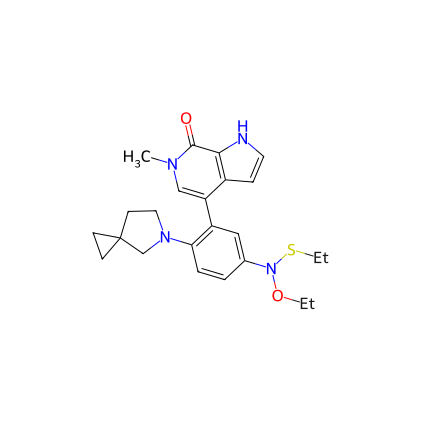 CCON(SCC)c1ccc(N2CCC3(CC3)C2)c(-c2cn(C)c(=O)c3[nH]ccc23)c1